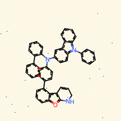 C1=Cc2c(oc3cccc(-c4ccc(N(c5ccc6c(c5)c5ccccc5n6-c5ccccc5)c5ccccc5-c5ccccc5)cc4)c23)NC1